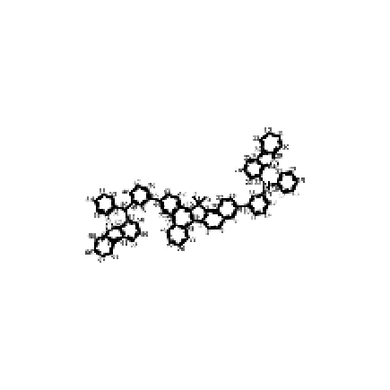 CC1(C)c2c(ccc3cc(-c4cccc(N(c5ccccc5)c5cccc6c5oc5ccccc56)c4)ccc23)-c2c1c1ccc(-c3cccc(C(c4ccccc4)c4cccc5c4oc4ccccc45)c3)cc1c1ccccc21